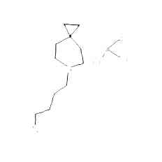 CC[Si](CC)(CC)O[C@@H]1CN(CCCCN)CCC12CC2